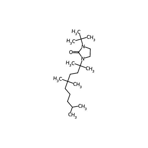 CC(C)CCCC(C)(C)CCC(C)(C)N1CCN(C(C)(C)C)C1=O